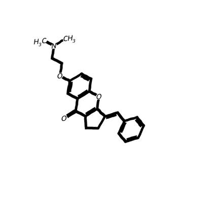 CN(C)CCOc1ccc2oc3c(c(=O)c2c1)CC/C3=C\c1ccccc1